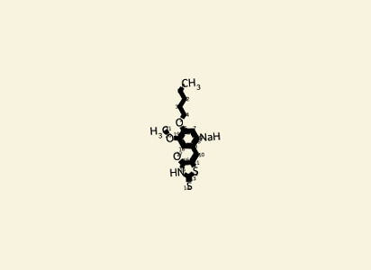 CCCCCOc1ccc(C=C2SC(=S)NC2=O)cc1OC.[NaH]